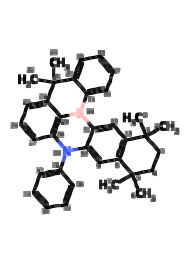 CC1(C)CCC(C)(C)c2cc3c(cc21)B1c2ccccc2C(C)(C)c2cccc(c21)N3c1ccccc1